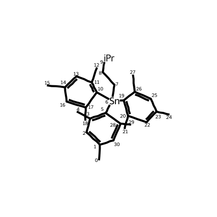 Cc1cc(C)[c]([Sn]([CH2]CC(C)C)([c]2c(C)cc(C)cc2C)[c]2c(C)cc(C)cc2C)c(C)c1